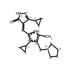 Cc1[nH]c(C=C2C(=O)NN=C2C2CC2)c(C2CC2)c1CN1CCCC1